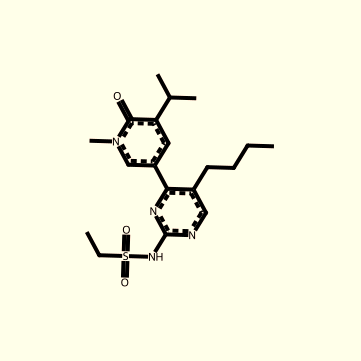 CCCCc1cnc(NS(=O)(=O)CC)nc1-c1cc(C(C)C)c(=O)n(C)c1